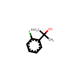 CCOC(=O)C(C)(O)c1ccccc1F